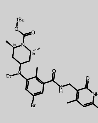 CCN(c1cc(Br)cc(C(=O)NCc2c(C)cc(C)[nH]c2=O)c1C)C1C[C@@H](C)N(C(=O)OC(C)(C)C)[C@H](C)C1